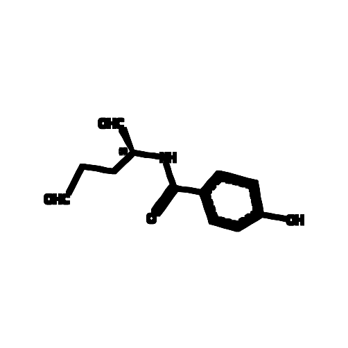 O=CCC[C@@H](C=O)NC(=O)c1ccc(O)cc1